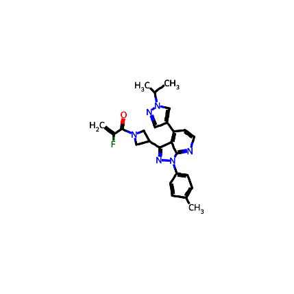 C=C(F)C(=O)N1CC(c2nn(-c3ccc(C)cc3)c3nccc(-c4cnn(C(C)C)c4)c23)C1